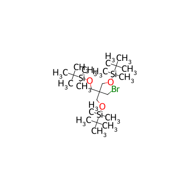 CC(C)(C)[Si](C)(C)OCC(CBr)(CO[Si](C)(C)C(C)(C)C)CO[Si](C)(C)C(C)(C)C